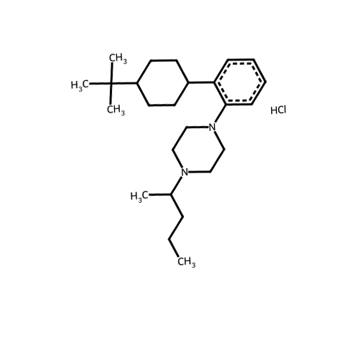 CCCC(C)N1CCN(c2ccccc2C2CCC(C(C)(C)C)CC2)CC1.Cl